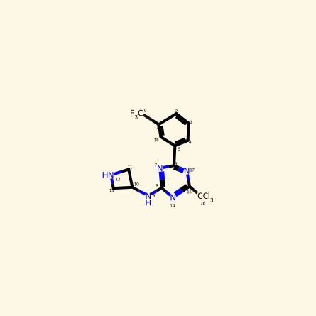 FC(F)(F)c1cccc(-c2nc(NC3CNC3)nc(C(Cl)(Cl)Cl)n2)c1